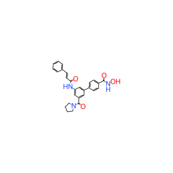 O=C(C=Cc1ccccc1)Nc1cc(C(=O)N2CCCC2)cc(-c2ccc(C(=O)NO)cc2)c1